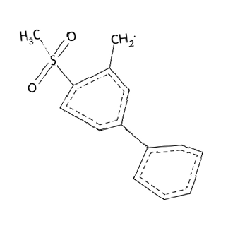 [CH2]c1cc(-c2ccccc2)ccc1S(C)(=O)=O